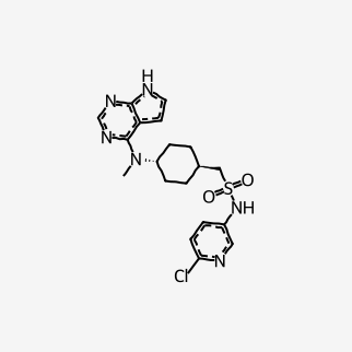 CN(c1ncnc2[nH]ccc12)[C@H]1CC[C@H](CS(=O)(=O)Nc2ccc(Cl)nc2)CC1